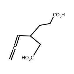 C=C=CC(CCC(=O)O)CC(=O)O